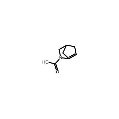 O=C(O)N1CC2CC=C1C2